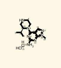 CC(C)[C@H]1CNCCN1c1nc(N)nc2c1cnn2C.Cl.Cl